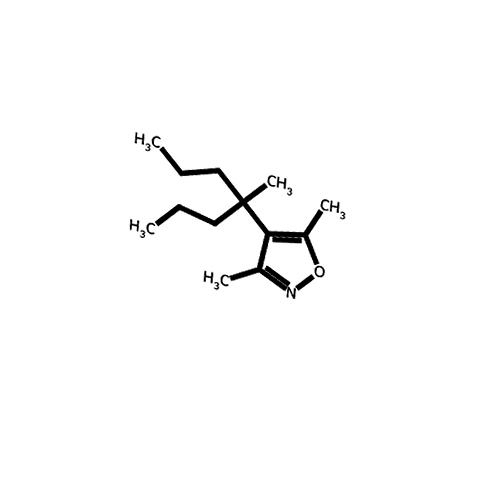 CCCC(C)(CCC)c1c(C)noc1C